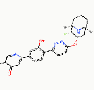 CC1C=NC(c2ccc(-c3ccc(O[C@H]4C[C@@H]5CCC[C@@H](N5)[C@H]4F)nn3)c(O)c2)=CC1=O